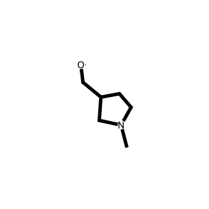 CN1CCC(C[O])C1